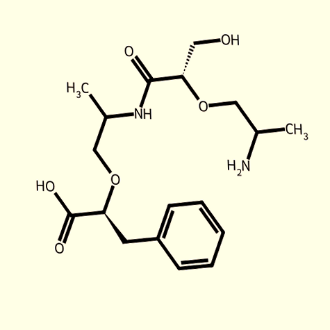 CC(N)CO[C@@H](CO)C(=O)NC(C)CO[C@@H](Cc1ccccc1)C(=O)O